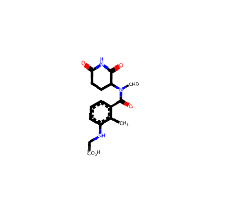 Cc1c(NCC(=O)O)cccc1C(=O)N(C=O)C1CCC(=O)NC1=O